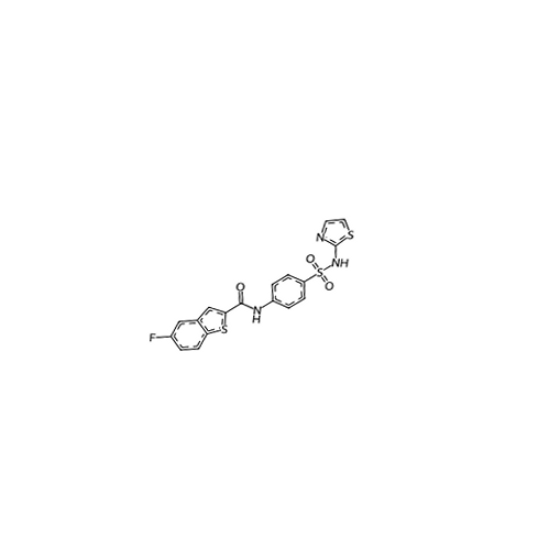 O=C(Nc1ccc(S(=O)(=O)Nc2nccs2)cc1)c1cc2cc(F)ccc2s1